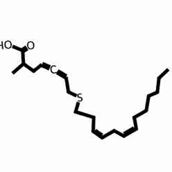 CCCCCC/C=C\C/C=C\CCSCC=C=CCC(C)C(=O)O